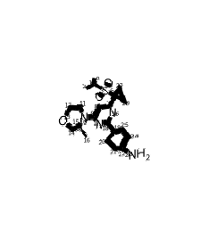 CC(C)S(=O)(=O)C1(c2cc(N3CCOC[C@@H]3C)nc(-c3ccc(N)cc3)n2)CC1